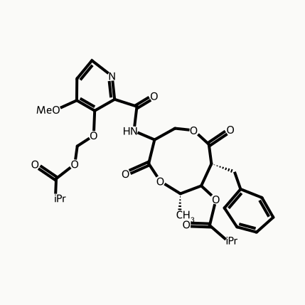 COc1ccnc(C(=O)NC2COC(=O)[C@H](Cc3ccccc3)C(OC(=O)C(C)C)[C@H](C)OC2=O)c1OCOC(=O)C(C)C